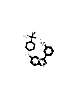 CC(C)(O)[C@H]1CC[C@H](Nc2ccc3nnc(-c4cccc(C(F)(F)F)c4)n3c2)CC1